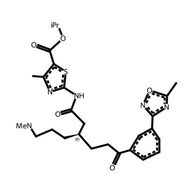 CNCCC[C@H](CCC(=O)c1cccc(-c2noc(C)n2)c1)CC(=O)Nc1nc(C)c(C(=O)OC(C)C)s1